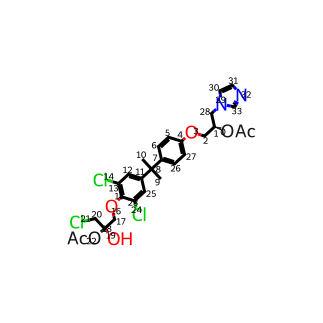 CC(=O)O[C@@H](COc1ccc(C(C)(C)c2cc(Cl)c(OCC(O)(CCl)OC(C)=O)c(Cl)c2)cc1)Cn1ccnc1